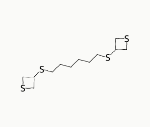 C(CCCSC1CSC1)CCSC1CSC1